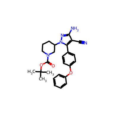 CC(C)(C)OC(=O)N1CCCC(n2nc(N)c(C#N)c2-c2ccc(Oc3ccccc3)cc2)C1